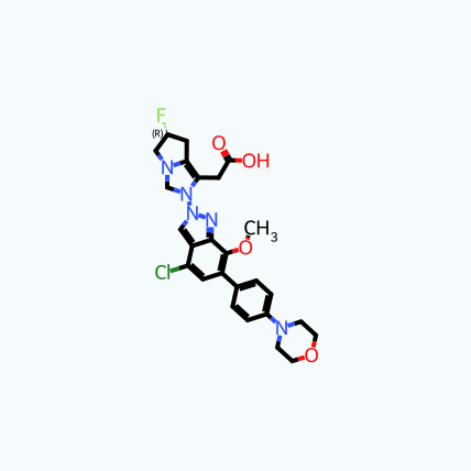 COc1c(-c2ccc(N3CCOCC3)cc2)cc(Cl)c2cn(N3CN4C[C@H](F)CC4=C3CC(=O)O)nc12